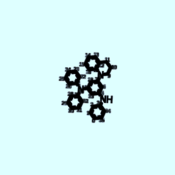 c1ccc(Nc2cc(N3CCCc4ccccc43)cc(N(c3ccccc3)c3ccccc3)c2)cc1